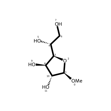 CO[C@@H]1O[C@H]([C@H](O)CO)[C@H](O)[C@H]1O